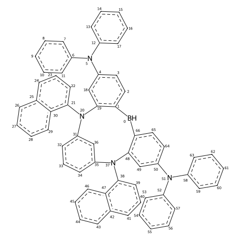 B1c2ccc(N(c3ccccc3)c3ccccc3)cc2N(c2cccc3ccccc23)c2cccc(c2)N(c2cccc3ccccc23)c2cc(N(c3ccccc3)c3ccccc3)ccc21